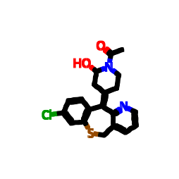 CC(=O)N1CCC(=C2c3ccc(Cl)cc3SCc3cccnc32)CC1O